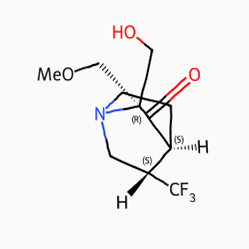 COC[C@]1(CO)C(=O)[C@H]2CCN1C[C@H]2C(F)(F)F